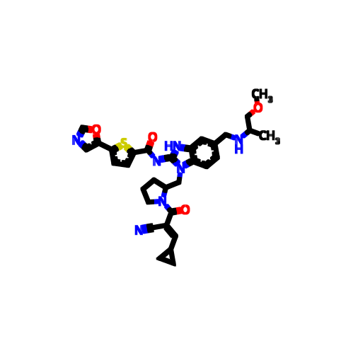 COCC(C)NCc1ccc2c(c1)[nH]c(=NC(=O)c1ccc(-c3cnco3)s1)n2CC1CCCN1C(=O)C(C#N)=CC1CC1